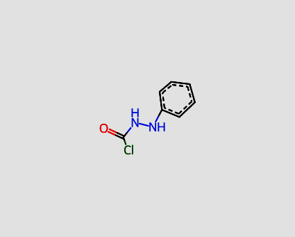 O=C(Cl)NNc1ccccc1